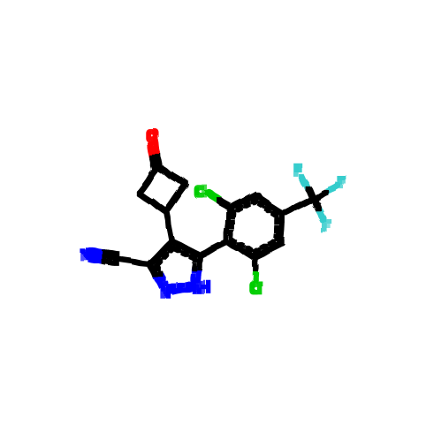 N#Cc1n[nH]c(-c2c(Cl)cc(C(F)(F)F)cc2Cl)c1C1CC(=O)C1